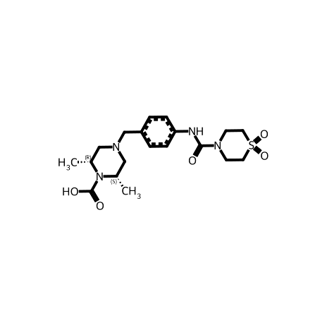 C[C@@H]1CN(Cc2ccc(NC(=O)N3CCS(=O)(=O)CC3)cc2)C[C@H](C)N1C(=O)O